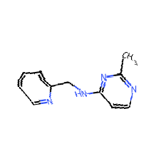 Cc1nccc(NCc2ccccn2)n1